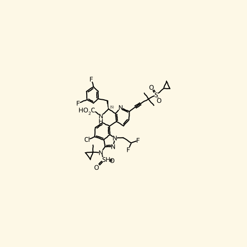 CC1(N(c2nn(CC(F)F)c3c(-c4ccc(C#CC(C)(C)S(=O)(=O)C5CC5)nc4[C@H](Cc4cc(F)cc(F)c4)NC(=O)O)ccc(Cl)c23)[SH](=O)=O)CC1